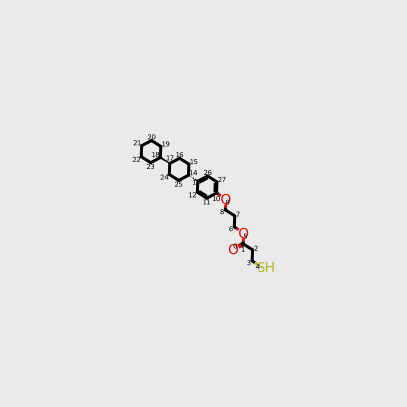 O=C(CCS)OCCCOc1ccc([C@H]2CC[C@H](C3CCCCC3)CC2)cc1